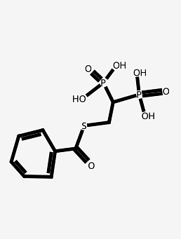 O=C(SCC(P(=O)(O)O)P(=O)(O)O)c1ccccc1